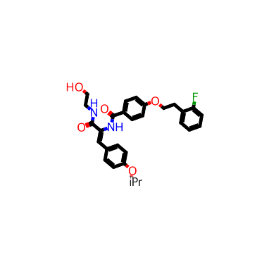 CC(C)Oc1ccc(C=C(NC(=O)c2ccc(OCCc3ccccc3F)cc2)C(=O)NCCO)cc1